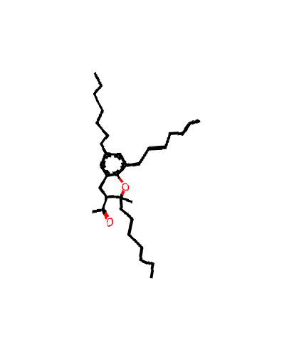 CCCCCCCc1cc(CCCCCCC)c2c(c1)CC(C(C)=O)C(C)(CCCCCCC)O2